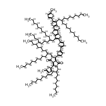 CCCCCCCCCCC(CCCCCCCC)Cc1c(-c2ccc(C)s2)sc2c1sc1c3sc(-c4ccc(-c5ccc(C6=C7C(=O)N(CC(CCCCCCCC)CCCCCCCCCC)C(c8ccc(C)s8)=C7C(=O)N6CC(CCCCCCCC)CCCCCCCCCC)s5)s4)c(CC(CCCCCCCC)CCCCCCCCCC)c3sc21